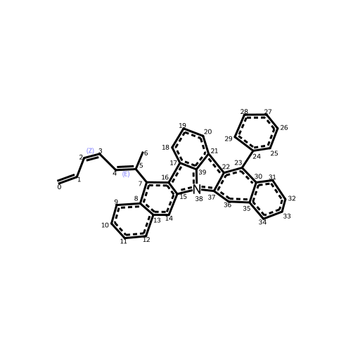 C=C/C=C\C=C(/C)c1c2ccccc2cc2c1c1cccc3c4c(-c5ccccc5)c5ccccc5cc4n2c13